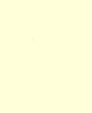 c1ccc(-n2c3ccccc3c3c2ccc2c4ccccc4n(C4CCC5c6ccccc6OC5C4)c23)cc1